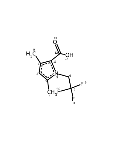 Cc1cc(C)n(CC(F)(F)F)c1C(=O)O